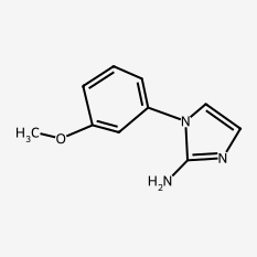 COc1cccc(-n2ccnc2N)c1